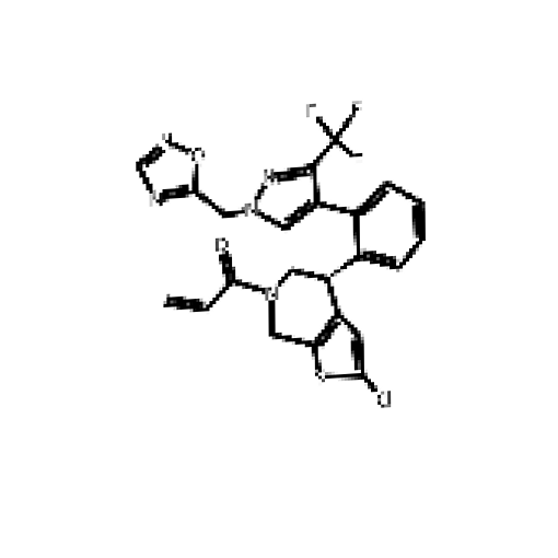 C=CC(=O)N1Cc2sc(Cl)cc2[C@H](c2ccccc2-c2cn(Cc3ncno3)nc2C(F)(F)F)C1